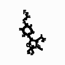 CN1C(CF)C(c2ccc(SCF)cc2)OC1(C)C